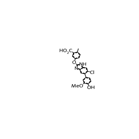 COc1cc(-c2cc3nc(Oc4ccc(C)c(C(=O)O)c4)[nH]c3cc2Cl)ccc1O